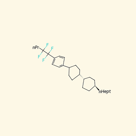 CCCCCCC[C@H]1CC[C@H](C2CCC(c3ccc(C(F)(F)C(F)(F)CCC)cc3)CC2)CC1